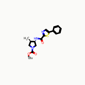 C[C@@H]1CN(C(=O)OC(C)(C)C)C[C@H]1NC(=O)c1ncc(-c2ccccc2)s1